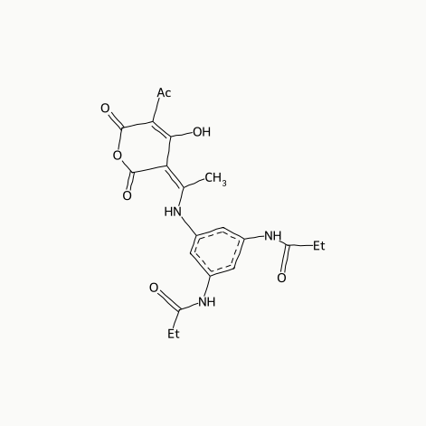 CCC(=O)Nc1cc(NC(=O)CC)cc(NC(C)=C2C(=O)OC(=O)C(C(C)=O)=C2O)c1